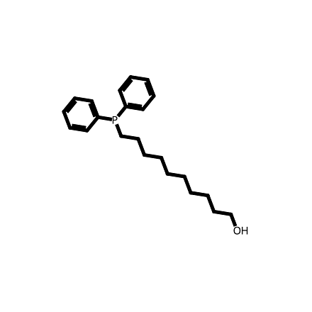 OCCCCCCCCCCP(c1ccccc1)c1ccccc1